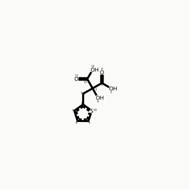 O=C(O)C(O)(Cc1cccs1)C(=O)O